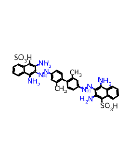 Cc1cc(/N=N/c2c(N)c(S(=O)(=O)O)c3ccccc3c2N)ccc1-c1ccc(/N=N/c2c(N)c(S(=O)(=O)O)c3ccccc3c2N)cc1C